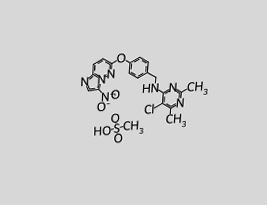 CS(=O)(=O)O.Cc1nc(C)c(Cl)c(NCc2ccc(Oc3ccc4ncc([N+](=O)[O-])n4n3)cc2)n1